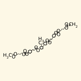 C=CC(=O)OCCCCOC(=O)Oc1ccc(C=CC(=O)Oc2ccc3c(c2)C(C)c2cc(OC(=O)C=Cc4ccc(OC(=O)OCCCCOC(=O)C=C)cc4)ccc2-3)cc1